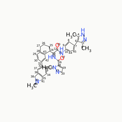 Cc1n[nH]c(C)c1-c1ccc(NC(=O)[C@@H](NC(=O)c2ccnn2C)[C@@H]2CCCc3ccc(-c4ccc5c(c4)CN(C)C5)cc32)cc1